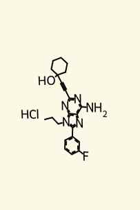 CCCn1c(-c2cccc(F)c2)nc2c(N)nc(C#CC3(O)CCCCC3)nc21.Cl